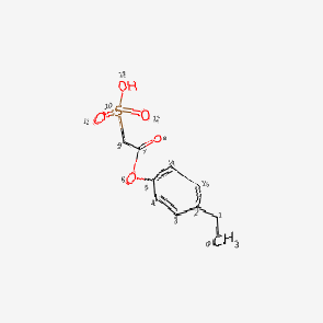 CCc1ccc(OC(=O)CS(=O)(=O)O)cc1